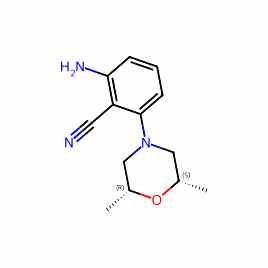 C[C@@H]1CN(c2cccc(N)c2C#N)C[C@H](C)O1